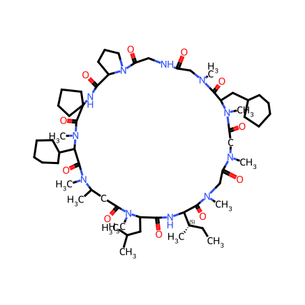 CC[C@H](C)C1NC(=O)C(CC(C)C)N(C)C(=O)CC(C)N(C)C(=O)C(C2CCCCC2)N(C)C(=O)C2(CCCC2)NC(=O)C2CCCN2C(=O)CNC(=O)CN(C)C(=O)C(CC2CCCCC2)N(C)C(=O)CN(C)C(=O)CN(C)C1=O